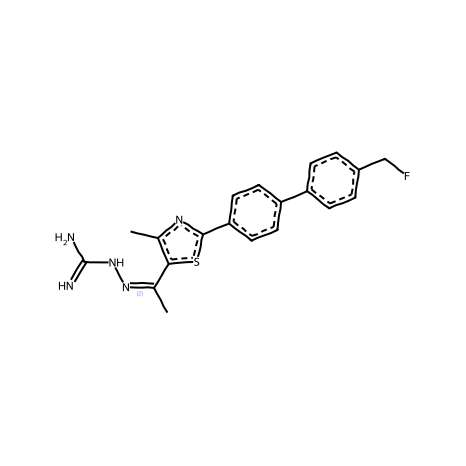 C/C(=N/NC(=N)N)c1sc(-c2ccc(-c3ccc(CF)cc3)cc2)nc1C